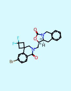 O=C1c2ccc(Br)cc2C2(CN1C[C@H]1OC(=O)N3Cc4ccccc4C[C@@H]13)CC(F)(F)C2